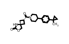 CC1(c2ccc(C3CCN(C(=O)[C@H]4C[C@]5(COC(=O)N5)C4)CC3)cc2)CC1